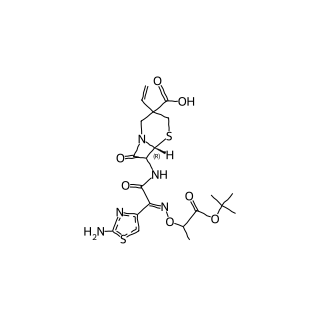 C=CC1(C(=O)O)CS[C@@H]2C(NC(=O)C(=NOC(C)C(=O)OC(C)(C)C)c3csc(N)n3)C(=O)N2C1